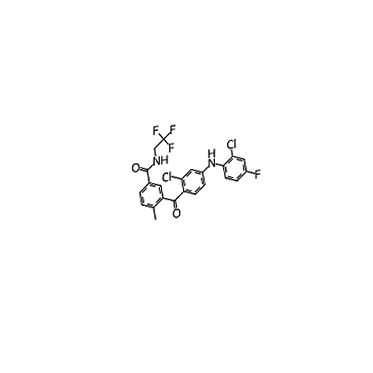 Cc1ccc(C(=O)NCC(F)(F)F)cc1C(=O)c1ccc(Nc2ccc(F)cc2Cl)cc1Cl